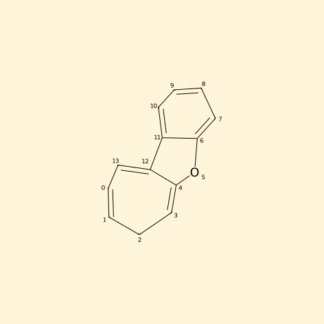 C1=CCC=c2oc3ccccc3c2=C1